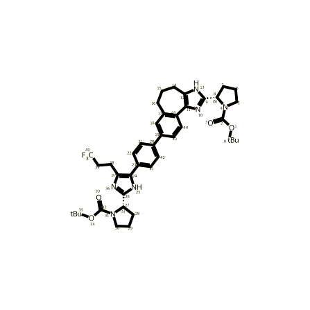 CC(C)(C)OC(=O)N1CCC[C@H]1c1nc2c([nH]1)CCCc1cc(-c3ccc(-c4[nH]c([C@@H]5CCCN5C(=O)OC(C)(C)C)nc4CCC(F)(F)F)cc3)ccc1-2